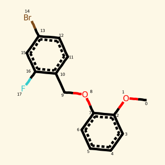 COc1[c]cccc1OCc1ccc(Br)cc1F